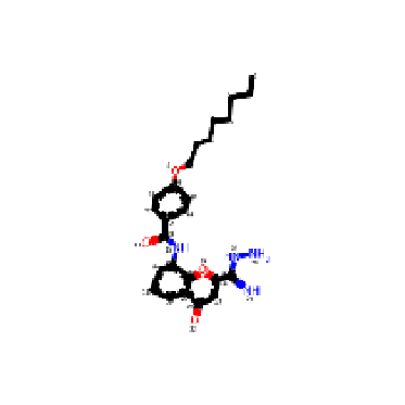 CCCCCCCCOc1ccc(C(=O)Nc2cccc3c(=O)cc(C(=N)NN)oc23)cc1